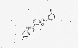 Cc1ccc(NC(=O)C2=CC(Cl)(OCc3cccc(F)c3)CC=C2)nc1